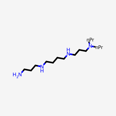 CCCN(CCC)CCCNCCCCNCCCN